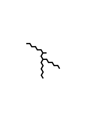 CCCCCCC(C)[CH]C(CCCCCC)CCCCCC